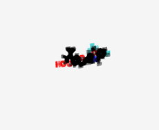 C[C@H](C(=O)O)C(c1ccc2c(c1)OC(C13CCN([C@@H](C)c4cc(F)ccc4OC(F)(F)F)C(C1)C3)CC2)C1CC1